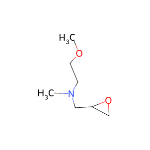 COCCN(C)CC1CO1